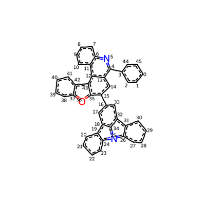 c1ccc(-c2nc3ccccc3c3c2cc(-c2cc4c5ccccc5n5c6ccccc6c(c2)c45)c2oc4ccccc4c23)cc1